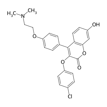 CN(C)CCOc1ccc(-c2c(Oc3ccc(Cl)cc3)c(=O)oc3cc(O)ccc23)cc1